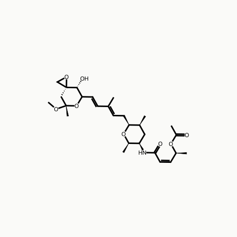 CO[C@]1(C)C[C@@]2(CO2)[C@H](O)C(/C=C/C(C)=C/C[C@@H]2O[C@H](C)[C@H](NC(=O)/C=C\[C@H](C)OC(C)=O)C[C@@H]2C)O1